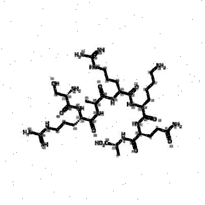 C[C@H](NC(=O)[C@H](CCC(N)=O)NC(=O)[C@H](CCCCN)NC(=O)[C@H](CCCNC(=N)N)NC(=O)[C@H](C)NC(=O)[C@H](CCCNC(=N)N)NC(=O)[C@@H](N)CO)C(=O)O